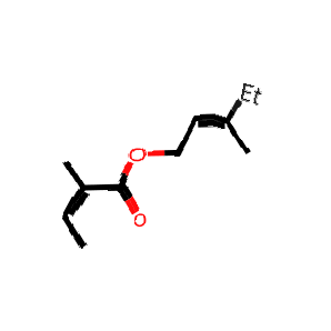 C/C=C(/C)C(=O)OCC=C(C)CC